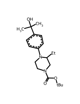 CCC1CN(C(=O)OC(C)(C)C)CCN1c1ccc(C(C)(C)O)cc1